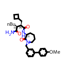 CCCC[C@H](C(N)=O)[C@@H](CC1CCC1)C(=O)N[C@H]1CCCCN(Cc2cccc(-c3ccc(OC)cc3)c2)C1=O